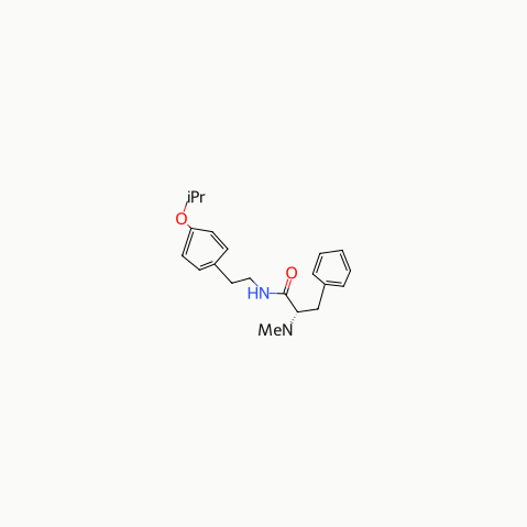 CN[C@@H](Cc1ccccc1)C(=O)NCCc1ccc(OC(C)C)cc1